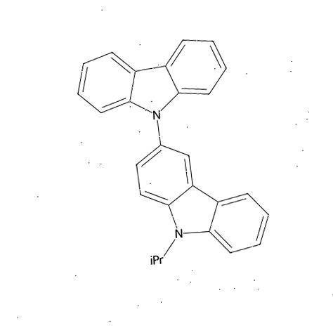 CC(C)n1c2ccccc2c2cc(-n3c4ccccc4c4ccccc43)ccc21